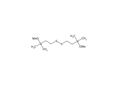 CO[Si](C)(C)CCSSCC[Si](C)(C)OC